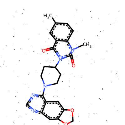 Cc1ccc2c(c1)c(=O)n(C1CCN(c3ncnc4cc5c(cc34)OCO5)CC1)c(=O)n2C